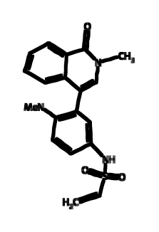 C=CS(=O)(=O)Nc1ccc(NC)c(-c2cn(C)c(=O)c3ccccc23)c1